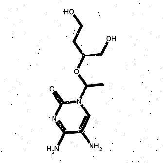 CC(O[C@H](CO)CCO)n1cc(N)c(N)nc1=O